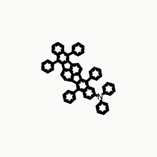 c1ccc(-c2c3c(c(-c4ccccc4)c4ccccc24)-c2ccc4c5c(ccc-3c25)-c2c-4c(-c3ccccc3)c3cc(N(c4ccccc4)c4ccccc4)ccc3c2-c2ccccc2)cc1